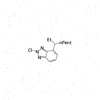 CCCCCC(CC)c1cccc2nn(Cl)nc12